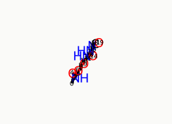 CCNC(=O)COCCOCCNC(=O)NCN=C=O